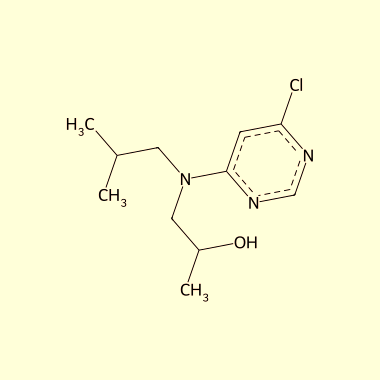 CC(C)CN(CC(C)O)c1cc(Cl)ncn1